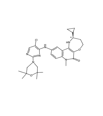 Cn1c(=O)c2c(c3cc(Nc4nc(N5CC(C)(C)OC(C)(C)C5)ncc4Cl)ccc31)N[C@@H](C1CC1)CCO2